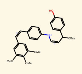 COc1cc(/C=C\c2ccc(N/C=C\C(OC)c3ccc(O)cc3)cc2)cc(OC)c1OC